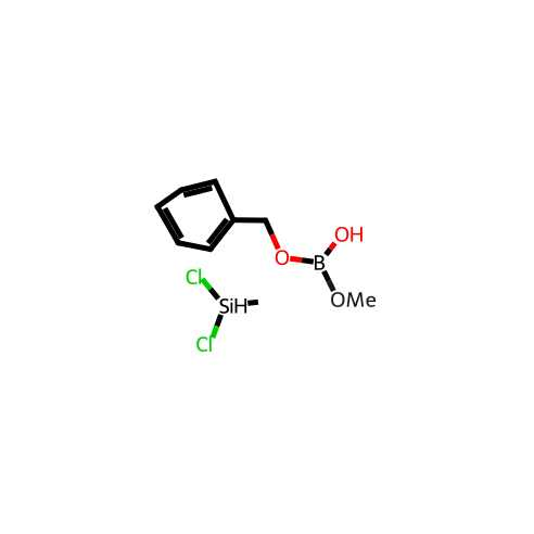 COB(O)OCc1ccccc1.C[SiH](Cl)Cl